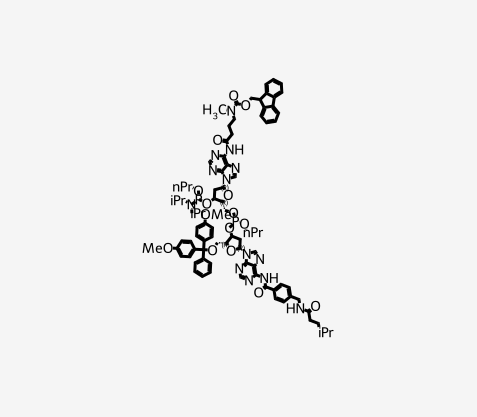 CCCOP(OC[C@H]1O[C@@H](n2cnc3c(NC(=O)CCCN(C)C(=O)OCC4c5ccccc5-c5ccccc54)ncnc32)CC1OP(OCCC)N(C(C)C)C(C)C)OC1C[C@H](n2cnc3c(NC(=O)c4ccc(CNC(=O)CCC(C)C)cc4)ncnc32)O[C@@H]1COC(c1ccccc1)(c1ccc(OC)cc1)c1ccc(OC)cc1